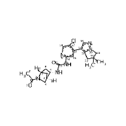 CC(=O)N1C[C@H]2C[C@H]1C[C@@H]2NC(=O)Nc1cc(-c2cnn3c2CC(C)(C)C3)c(Cl)cn1